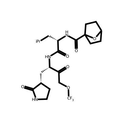 CC(C)C[C@H](NC(=O)C12CCC(CC1)O2)C(=O)N[C@@H](C[C@@H]1CCNC1=O)C(=O)COC(F)(F)F